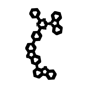 c1ccc(-c2nc(-c3ccc(-c4ccc5oc6cc(-c7cccc8c7oc7ccccc78)ccc6c5c4)cc3)nc(-n3c4ccccc4c4ccccc43)n2)cc1